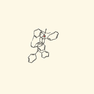 CC(C)(C)OCc1cc2c(P(c3ccccc3)c3ccccc3)cc1CCc1ccc(cc1P(c1ccccc1)c1ccccc1)CC2